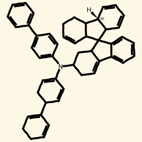 C1=CC2[C@@H](C=C1)C1CCC=CC1C21c2ccccc2C2=CCC(N(C3=CCC(C4=CCCC=C4)C=C3)c3ccc(-c4ccccc4)cc3)CC21